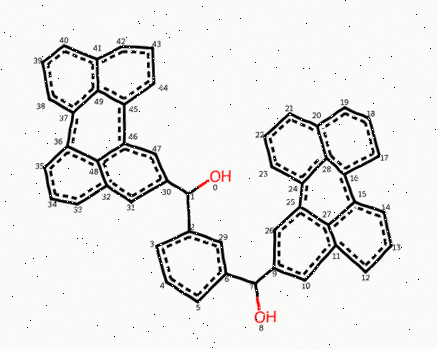 OC(c1cccc(C(O)c2cc3cccc4c5cccc6cccc(c(c2)c34)c65)c1)c1cc2cccc3c4cccc5cccc(c(c1)c23)c54